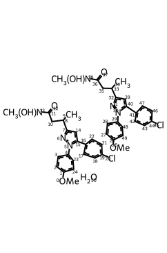 COc1ccc(-n2nc(C(C)CC(=O)N(C)O)cc2-c2ccc(Cl)cc2)cc1.COc1ccc(-n2nc(C(C)CC(=O)N(C)O)cc2-c2ccc(Cl)cc2)cc1.O